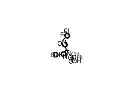 CC(OP(=O)(O)O)n1cc(-c2ccn(Cc3cccc(Cl)c3F)c(=O)c2)c2cc(N3CCOCC3)cnc21